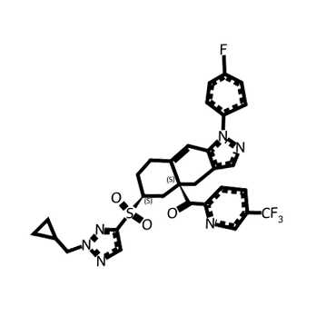 O=C(c1ccc(C(F)(F)F)cn1)[C@]12Cc3cnn(-c4ccc(F)cc4)c3C=C1CC[C@H](S(=O)(=O)c1cnn(CC3CC3)n1)C2